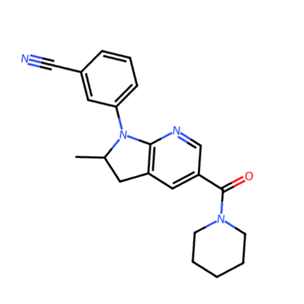 CC1Cc2cc(C(=O)N3CCCCC3)cnc2N1c1cccc(C#N)c1